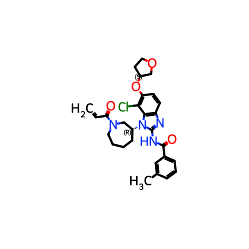 C=CC(=O)N1CCCC[C@@H](n2c(NC(=O)c3cccc(C)c3)nc3ccc(O[C@H]4CCOC4)c(Cl)c32)C1